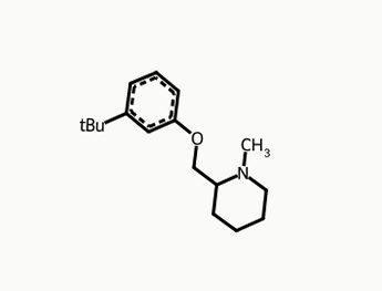 CN1CCCCC1COc1cccc(C(C)(C)C)c1